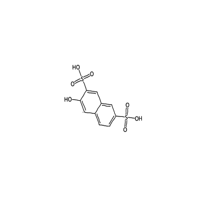 O=S(=O)(O)c1ccc2[c]c(O)c(S(=O)(=O)O)cc2c1